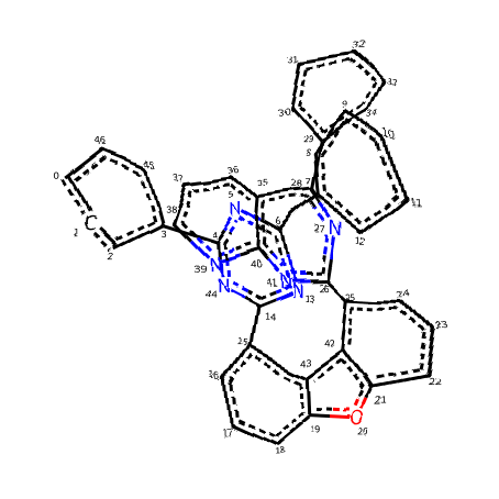 c1ccc(-c2nc(-c3ccccc3)nc(-c3cccc4oc5cccc(-c6nc(-c7ccccc7)c7cccnc7n6)c5c34)n2)cc1